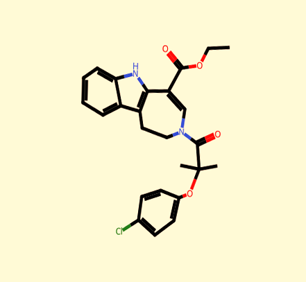 CCOC(=O)C1=CN(C(=O)C(C)(C)Oc2ccc(Cl)cc2)CCc2c1[nH]c1ccccc21